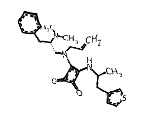 C=CCN(C[C@H](Cc1ccccc1)N(C)C)c1c(N[C@@H](C)Cc2ccsc2)c(=O)c1=O